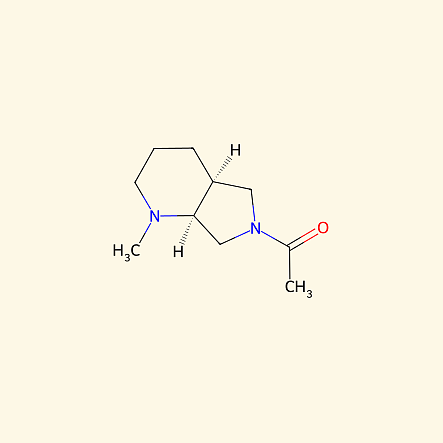 CC(=O)N1C[C@@H]2CCCN(C)[C@@H]2C1